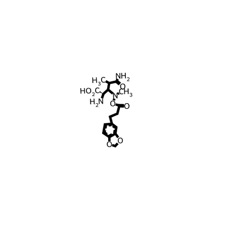 CC(C(N)=O)C([C@H](N)C(=O)O)N(C)OC(=O)CCc1ccc2c(c1)OCO2